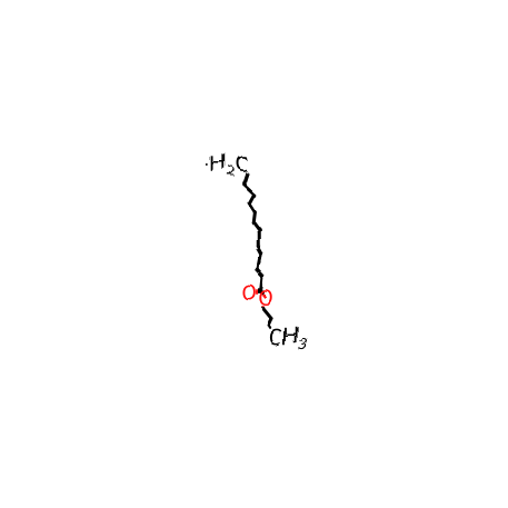 [CH2]CCCCCCCCCCCC(=O)OCCCC